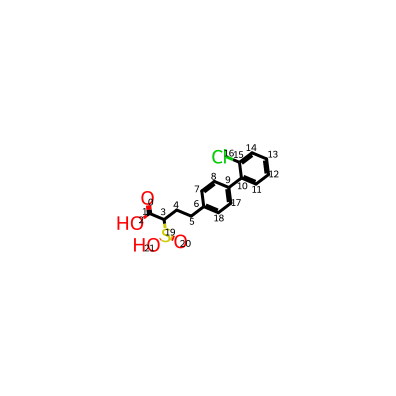 O=C(O)C(CCc1ccc(-c2ccccc2Cl)cc1)S(=O)O